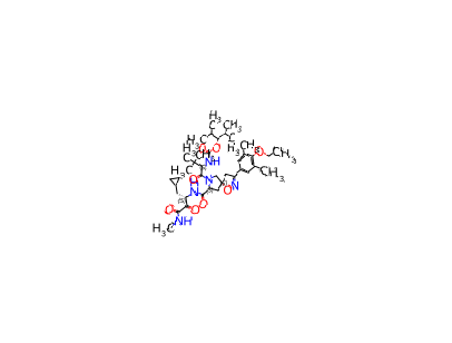 CCOc1c(C)cc(C2=NO[C@]3(C2)C[C@@H](C(=O)N[C@@H](CC2CC2)C(=O)C(=O)NC)N(C(=O)[C@@H](NC(=O)OC(C(C)C)C(C)C)C(C)(C)C)C3)cc1C